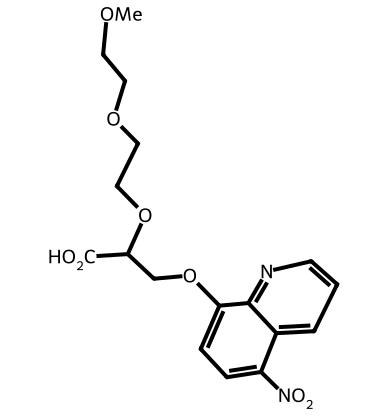 COCCOCCOC(COc1ccc([N+](=O)[O-])c2cccnc12)C(=O)O